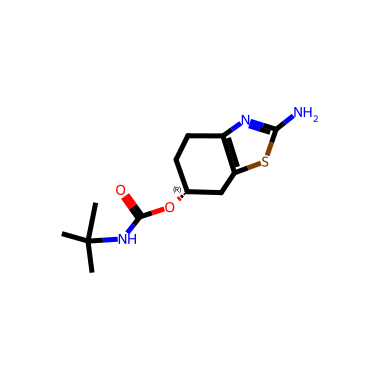 CC(C)(C)NC(=O)O[C@@H]1CCc2nc(N)sc2C1